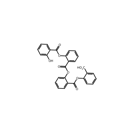 O=C(Oc1ccccc1C(=O)Oc1ccccc1C(=O)Oc1ccccc1C(=O)O)c1ccccc1O